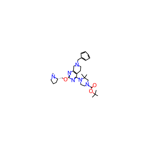 CN1CCC[C@H]1COc1nc2c(c(N3CCN(C(=O)OC(C)(C)C)CC3(C)C)n1)CCN(Cc1ccccc1)C2